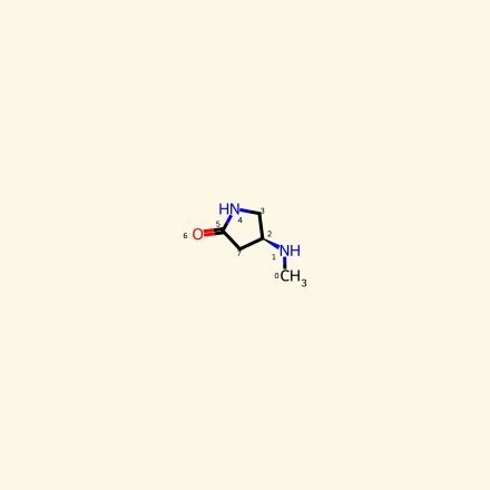 CN[C@@H]1CNC(=O)C1